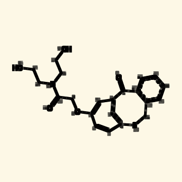 O=C1C2=C=C(C=CC(OCC(=O)N(CCO)CCO)=C2)SCc2ccccc21